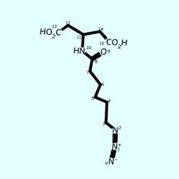 [N-]=[N+]=NCCCCCC(=O)NC(CC(=O)O)CC(=O)O